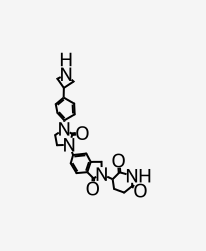 O=C1CCC(N2Cc3cc(N4CCN(c5ccc(C6CNC6)cc5)C4=O)ccc3C2=O)C(=O)N1